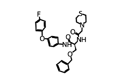 O=C(CN1CCSCC1)N[C@@H](COCc1ccccc1)C(=O)Nc1ccc(Oc2ccc(F)cc2)cc1